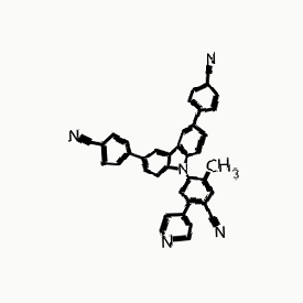 Cc1cc(C#N)c(-c2ccncc2)cc1-n1c2ccc(-c3ccc(C#N)cc3)cc2c2cc(-c3ccc(C#N)cc3)ccc21